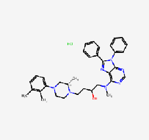 Cc1cccc(N2CCN(CCC(O)CN(C)c3ncnc4c3nc(-c3ccccc3)n4-c3ccccc3)[C@@H](C)C2)c1C.Cl